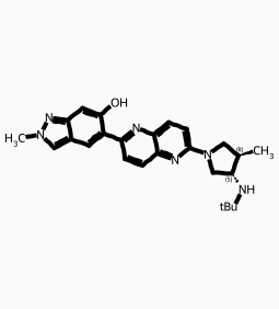 C[C@@H]1CN(c2ccc3nc(-c4cc5cn(C)nc5cc4O)ccc3n2)C[C@H]1NC(C)(C)C